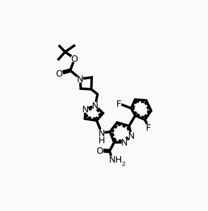 CC(C)(C)OC(=O)N1CC(Cn2cc(Nc3cc(-c4c(F)cccc4F)nnc3C(N)=O)cn2)C1